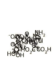 CCn1nc(C[N+]2(CC3=C(C(=O)[O-])N4C(=O)[C@@H](NC(=O)/C(=N\O[C@@H](CC(=O)O)C(=O)O)c5nc(N)sc5Cl)[C@H]4SC3)CCCC2)c(=O)c2cc(O)c(O)cc21